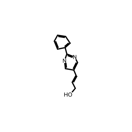 OCC=Cc1cnc(-c2ccccc2)nc1